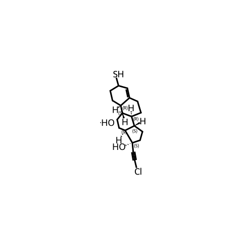 O[C@@]1(C#CCl)CC[C@H]2[C@@H]3CCC4=CC(S)CC[C@@H]4[C@H]3CC[C@@H]21.[OH]